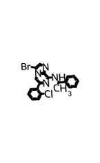 CC(Nc1nc(-c2ccccc2Cl)cn2c(Br)cnc12)c1ccccc1